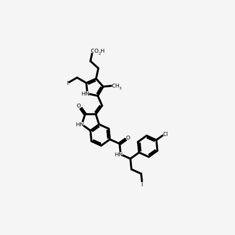 Cc1c(/C=C2\C(=O)Nc3ccc(C(=O)NC(CCI)c4ccc(Cl)cc4)cc32)[nH]c(CI)c1CCC(=O)O